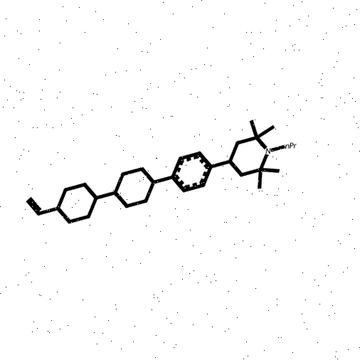 C=CC1CCC(C2CCC(c3ccc(C4CC(C)(C)N(CCC)C(C)(C)C4)cc3)CC2)CC1